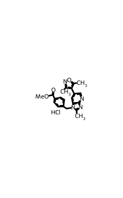 COC(=O)c1ccc(Cn2c(C)nc3ncc(-c4c(C)noc4C)cc32)cc1.Cl